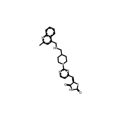 Cc1cc(CNCC2CCN(c3nccc(C=C4SC(=O)NC4=O)n3)CC2)c2ccccc2n1